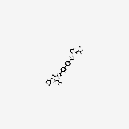 COC(=O)N[C@H](C(=O)N1CCC[C@H]1c1ncc(C23CCC(c4ccc(-c5cnc([C@@H]6CSC(C7CCOCC7)N6C(=O)[C@@H](C)C(C)C)[nH]5)cc4)(CC2)CC3)[nH]1)C(C)C